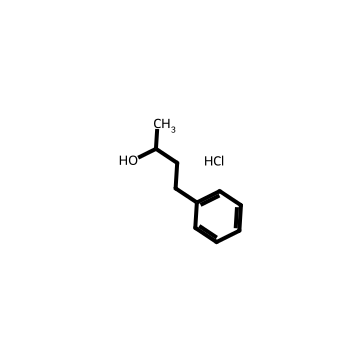 CC(O)CCc1ccccc1.Cl